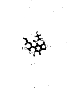 C/C=C(\C)CC(C(=O)O)c1c(OC)c(C)c2c(c1N(C)C(=O)C(F)(F)F)C(=O)OC2